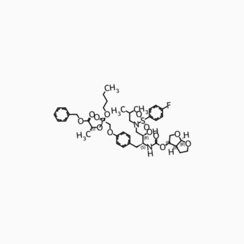 CCCCOP(=O)(COc1ccc(C[C@H](NC(=O)O[C@H]2CO[C@H]3OCC[C@H]32)[C@H](O)CN(CC(C)C)S(=O)(=O)c2ccc(F)cc2)cc1)O[C@@H](C)C(=O)OCc1ccccc1